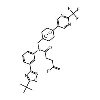 C=C(F)CCC(=O)N(CC12CCC(c3cnc(C(F)(F)F)nc3)(CC1)OC2)c1cccc(-c2noc(C(C)(C)C)n2)c1